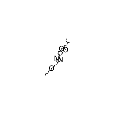 CCCCCOCCCc1cnc(-c2ccc(OC(=O)CCC(C)CC)cc2)nc1